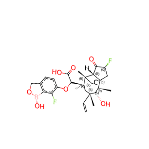 C=C[C@]1(C)C[C@@H](C(Oc2ccc3c(c2F)B(O)OC3)C(=O)O)[C@@]2(C)[C@H](C)CC[C@]3(C[C@H](F)C(=O)[C@H]32)[C@@H](C)[C@@H]1O